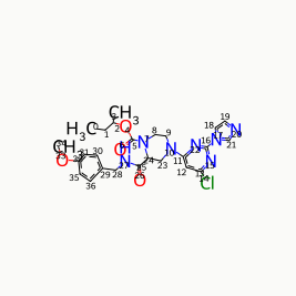 CCC(C)OC(=O)N1CCN(c2cc(Cl)nc(-n3ccnc3)n2)CC1C(=O)NCc1ccc(OC)cc1